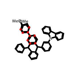 COc1ccc(-c2ccc3c(c2)C2(c4ccccc4)c4ccccc4C3(c3cccc(-n4c5ccccc5c5ccccc54)c3)c3ccc(-c4ccc(OC)cc4)cc32)cc1